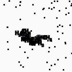 C=C(C)/C=C(\C=C/C)c1ncc(CNc2ncnc(-c3ccc(C)c(/C=C\C=C\CC)c3)c2F)cc1C#N